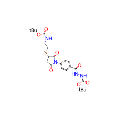 CC(C)(C)OC(=O)NCCSC1CC(=O)N(c2ccc(C(=O)NNC(=O)OC(C)(C)C)cc2)C1=O